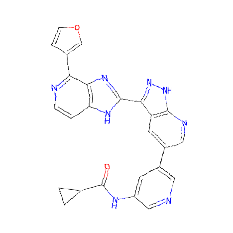 O=C(Nc1cncc(-c2cnc3[nH]nc(-c4nc5c(-c6ccoc6)nccc5[nH]4)c3c2)c1)C1CC1